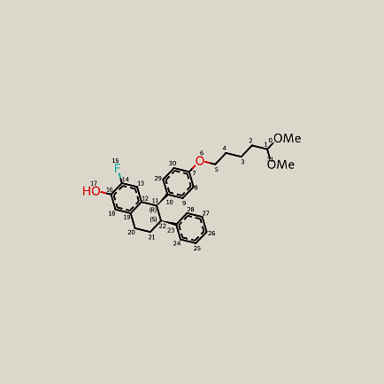 COC(CCCCOc1ccc([C@@H]2c3cc(F)c(O)cc3CC[C@@H]2c2ccccc2)cc1)OC